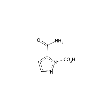 NC(=O)c1ccnn1C(=O)O